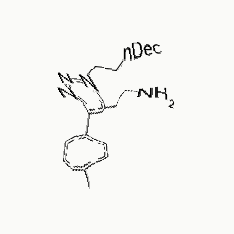 CCCCCCCCCCCCn1nnc(-c2ccc(C)cc2)c1CCN